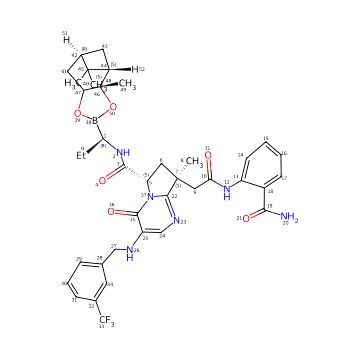 CC[C@H](NC(=O)[C@@H]1C[C@@](C)(CC(=O)Nc2ccccc2C(N)=O)c2ncc(NCc3cccc(C(F)(F)F)c3)c(=O)n21)B1OC2C[C@H]3C[C@@H](C3(C)C)[C@]2(C)O1